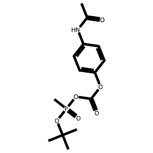 CC(=O)Nc1ccc(OC(=O)OP(C)(=O)OC(C)(C)C)cc1